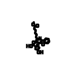 COC(=O)CCCCCc1nc(N2C[C@@H](O)C[C@H]2C(=O)O)c2oc3ccccc3c2n1